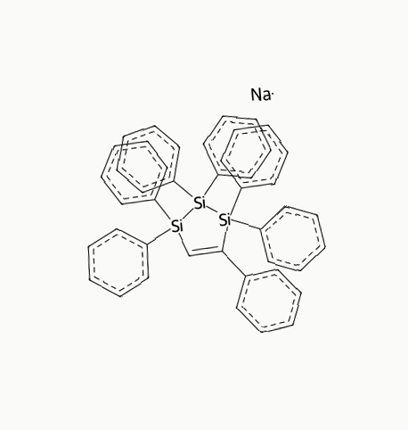 C1=C(c2ccccc2)[Si](c2ccccc2)(c2ccccc2)[Si](c2ccccc2)(c2ccccc2)[Si]1(c1ccccc1)c1ccccc1.[Na]